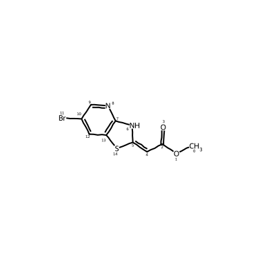 COC(=O)/C=C1\Nc2ncc(Br)cc2S1